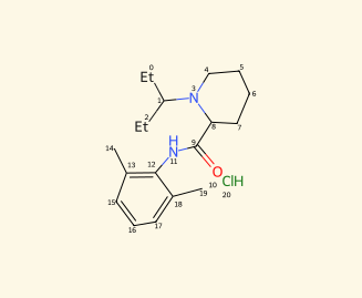 CCC(CC)N1CCCCC1C(=O)Nc1c(C)cccc1C.Cl